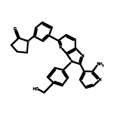 Nc1ncccc1-c1nc2ccc(-c3cccc(N4CCCC4=O)c3)nc2n1-c1ccc(CO)cc1